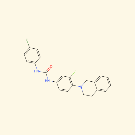 O=C(Nc1ccc(Cl)cc1)Nc1ccc(N2CCc3ccccc3C2)c(F)c1